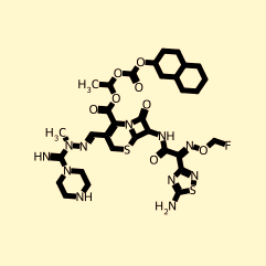 CC(OC(=O)OC1CCC2CCCCC2C1)OC(=O)C1=C(C=NN(C)C(=N)N2CCNCC2)CSC2C(NC(=O)C(=NOCF)c3nsc(N)n3)C(=O)N12